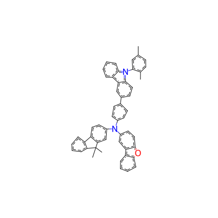 Cc1ccc(C)c(-n2c3ccccc3c3cc(-c4ccc(N(c5ccc6c(c5)C(C)(C)c5ccccc5-6)c5ccc6oc7ccccc7c6c5)cc4)ccc32)c1